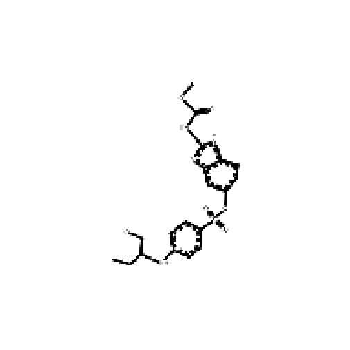 CCC(CO)Nc1ccc(S(=O)(=O)Oc2ccc3[nH]c(NC(=O)OC)nc3c2)cc1